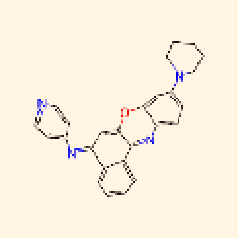 c1ccc2c(=Nc3ccncc3)cc3oc4cc(N5CCCCC5)ccc4nc-3c2c1